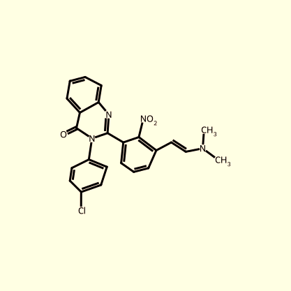 CN(C)C=Cc1cccc(-c2nc3ccccc3c(=O)n2-c2ccc(Cl)cc2)c1[N+](=O)[O-]